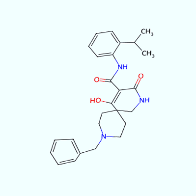 CC(C)c1ccccc1NC(=O)C1=C(O)C2(CCN(Cc3ccccc3)CC2)CNC1=O